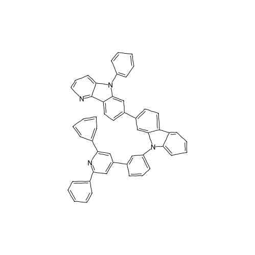 c1ccc(-c2cc(-c3cccc(-n4c5ccccc5c5ccc(-c6ccc7c8ncccc8n(-c8ccccc8)c7c6)cc54)c3)cc(-c3ccccc3)n2)cc1